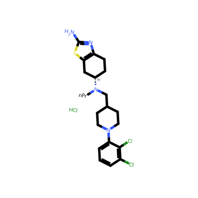 CCCN(CC1CCN(c2cccc(Cl)c2Cl)CC1)[C@H]1CCc2nc(N)sc2C1.Cl